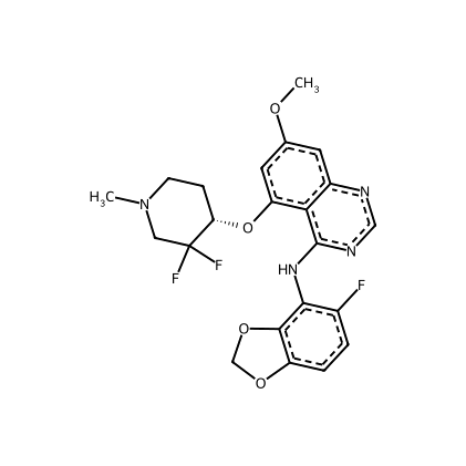 COc1cc(O[C@H]2CCN(C)CC2(F)F)c2c(Nc3c(F)ccc4c3OCO4)ncnc2c1